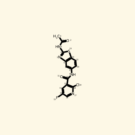 CC(=O)Nc1nc2cc(NC(=O)c3cc(F)cnc3Cl)ccc2s1